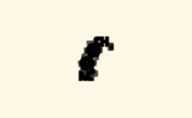 Cc1ccc(C2CCCN(CC#N)C2)cc1